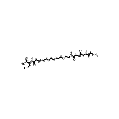 NCC(=O)NCC(=O)NCC(=O)NCCOCCOCCOCCOCCC(=O)NC(CS)C(=O)O